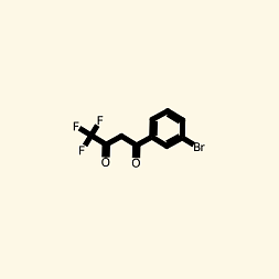 O=C(CC(=O)C(F)(F)F)c1cccc(Br)c1